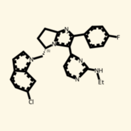 CCNc1nccc(-c2c(-c3ccc(F)cc3)nc3n2[C@H](Cn2ccc4ccc(Cl)cc42)CC3)n1